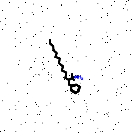 CCCCCCCCCCCCC(Cc1ccccc1)C(C)(C)N